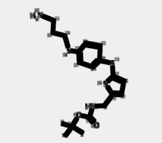 CC(C)(C)OC(=O)NCc1ccc(Sc2ccc(SCCCN)cc2)s1